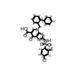 O=C(O)c1cn(Cc2ccccc2-c2ccccc2)c2sc(NS(=O)(=O)c3ccc(Cl)cc3F)nc2c1=O